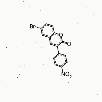 O=c1oc2ccc(Br)cc2cc1-c1ccc([N+](=O)[O-])cc1